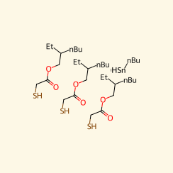 CCCCC(CC)COC(=O)CS.CCCCC(CC)COC(=O)CS.CCCCC(CC)COC(=O)CS.CCC[CH2][SnH]